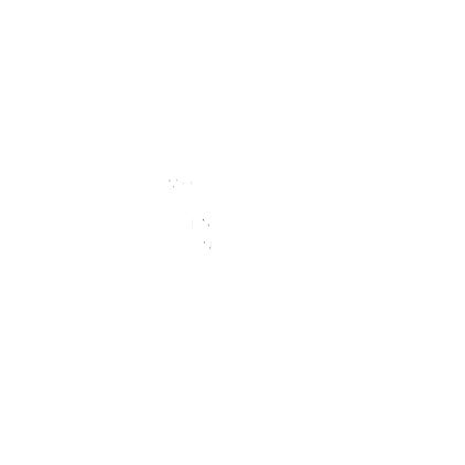 COc1ccccc1-c1cc(-c2ccccc2CI)n[nH]1